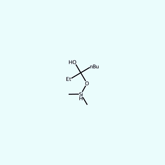 CCCCC(O)(CC)O[SiH](C)C